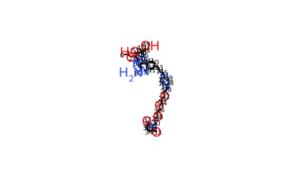 CCOCc1nc2c(N)nc3cc(CCCN4CCN(CCOCCOCCOCCN5C(=O)C=CC5=O)CC4)ccc3c2n1CC(C)(CO)CO